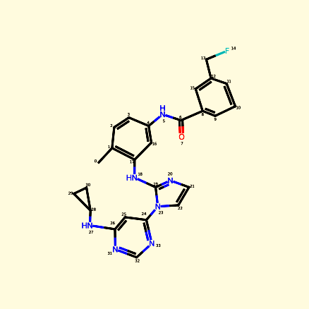 Cc1ccc(NC(=O)c2cccc(CF)c2)cc1Nc1nccn1-c1cc(NC2CC2)ncn1